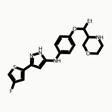 CCC(Oc1ccc(Nc2cc(-c3cc(F)cs3)n[nH]2)cc1)C1COCCN1